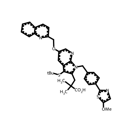 COc1cnc(-c2ccc(Cn3c(CC(C)(C)C(=O)O)c(SC(C)(C)C)c4cc(OCc5ccc6ccccc6n5)cnc43)cc2)s1